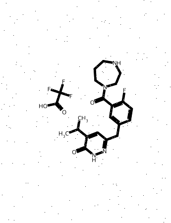 CC(C)c1cc(Cc2ccc(F)c(C(=O)N3CCCNCC3)c2)n[nH]c1=O.O=C(O)C(F)(F)F